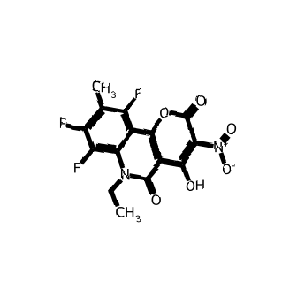 CCn1c(=O)c2c(O)c([N+](=O)[O-])c(=O)oc2c2c(F)c(C)c(F)c(F)c21